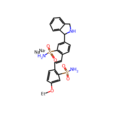 CCOc1ccc(C=Cc2ccc(C3NCc4ccccc43)cc2S(N)(=O)=O)c(S(N)(=O)=O)c1.[Na].[Na]